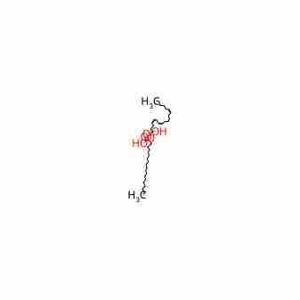 CCCCC/C=C\C/C=C\C/C=C\C/C=C\CCC(O)C(=O)OC(CCCCCCCCCCCCCCCCCC)C(=O)O